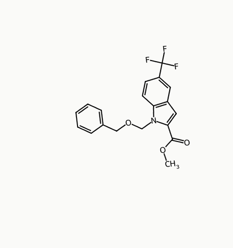 COC(=O)c1cc2cc(C(F)(F)F)ccc2n1COCc1ccccc1